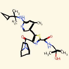 Cc1cc(NC(C)(C)C2CC2)ncc1-c1sc(C(=O)NCC(C)(C)O)nc1C(=O)N1C2CCC1CC2